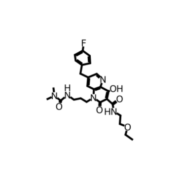 CCOCCNC(=O)c1c(O)c2ncc(Cc3ccc(F)cc3)cc2n(CCCNC(=O)N(C)C)c1=O